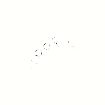 CCOC(=O)CCN1CCN(c2ccc(-c3ccc4c(c3)CCN(C)CC4)cc2)C1=O